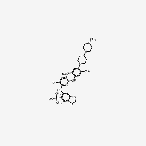 COc1cc(N2CCC(N3CCN(C)CC3)CC2)c(C)cc1Nc1ncc(Br)c(Nc2cc3c(cc2C(C)(C)O)OCO3)n1